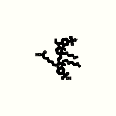 CCN1/C(=C/C=C/C=C/C2=[N+](CCCCCC(=O)O)c3ccc(S(=O)(=O)O)cc3C2(C)CCOCCOC)C(C)(CCOCCOC)c2cc(S(=O)(=O)[O-])ccc21